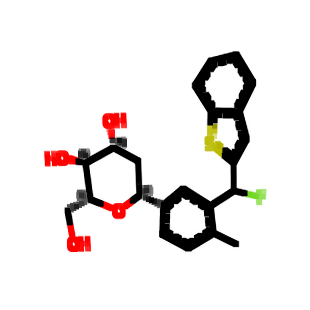 Cc1ccc([C@H]2C[C@@H](O)[C@H](O)[C@@H](CO)O2)cc1C(F)c1cc2ccccc2s1